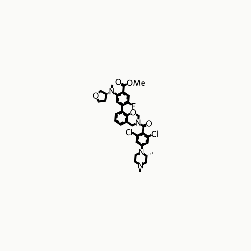 COC(=O)c1cc(F)c(-c2cccc3c2OCN(C(=O)c2c(Cl)cc(N4CCN(C)C[C@H]4C)cc2Cl)C3)cc1N(C)[C@@H]1CCOC1